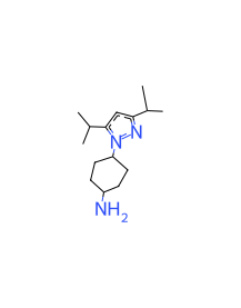 CC(C)c1cc(C(C)C)n(C2CCC(N)CC2)n1